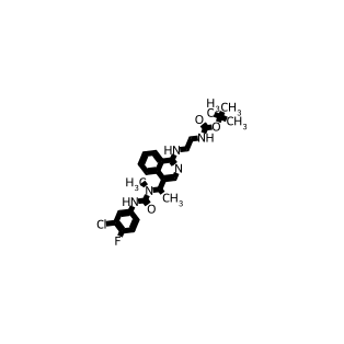 CC(c1cnc(NCCNC(=O)OC(C)(C)C)c2ccccc12)N(C)C(=O)Nc1ccc(F)c(Cl)c1